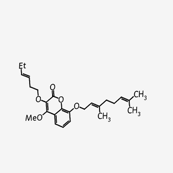 CC/C=C/CCOc1c(OC)c2cccc(OC/C=C(\C)CCC=C(C)C)c2oc1=O